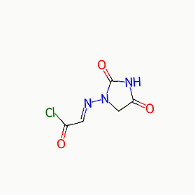 O=C(Cl)/C=N/N1CC(=O)NC1=O